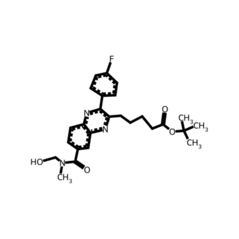 CN(CO)C(=O)c1ccc2nc(-c3ccc(F)cc3)c(CCCCC(=O)OC(C)(C)C)nc2c1